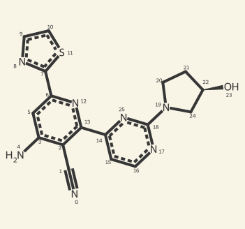 N#Cc1c(N)cc(-c2nccs2)nc1-c1ccnc(N2CC[C@@H](O)C2)n1